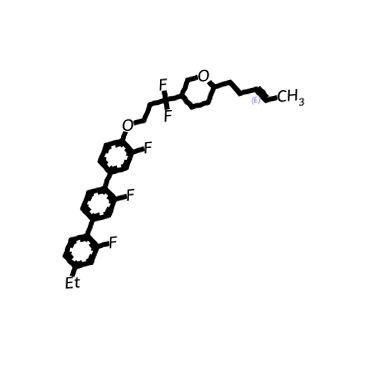 C/C=C/CCC1CCC(C(F)(F)CCOc2ccc(-c3ccc(-c4ccc(CC)cc4F)cc3F)cc2F)CO1